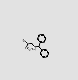 CC[C@@H](CNC(c1ccccc1)c1ccccc1)C(=O)O